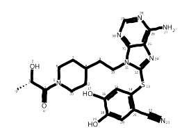 C[C@H](O)C(=O)N1CCC(CCn2c(Sc3cc(O)c(O)cc3C#N)nc3c(N)ncnc32)CC1